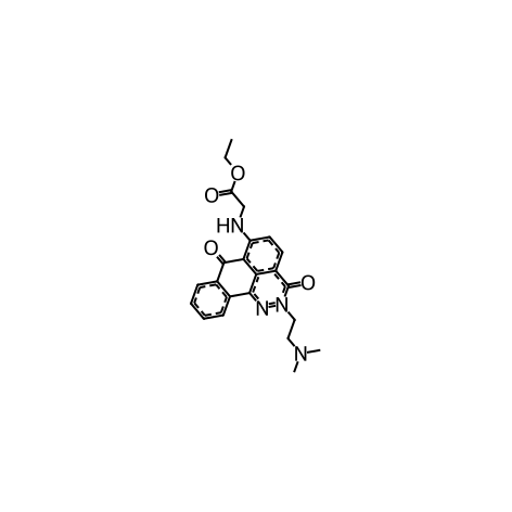 CCOC(=O)CNc1ccc2c(=O)n(CCN(C)C)nc3c2c1C(=O)c1ccccc1-3